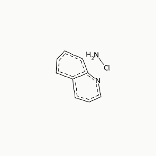 NCl.c1ccc2ncccc2c1